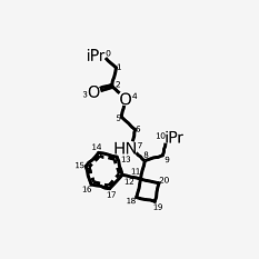 CC(C)CC(=O)OCCNC(CC(C)C)C1(c2ccccc2)CCC1